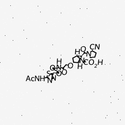 CC(=O)Nc1nnc(S(=O)(=O)NC(=O)CO[C@@H]2C[C@@H]3C[C@H]2N(C(=O)O)[C@@H]3C(=O)N2CCC[C@H]2C#N)s1